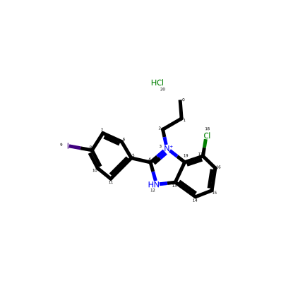 CCC[n+]1c(-c2ccc(I)cc2)[nH]c2cccc(Cl)c21.Cl